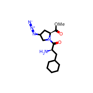 COC(=O)[C@@H]1CC(N=[N+]=[N-])CN1C(=O)[C@H](N)CC1CCCCC1